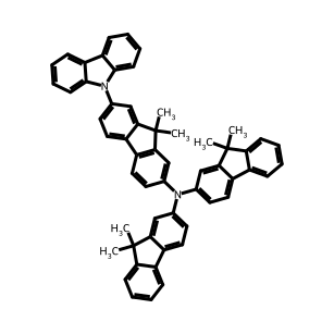 CC1(C)c2ccccc2-c2ccc(N(c3ccc4c(c3)C(C)(C)c3ccccc3-4)c3ccc4c(c3)C(C)(C)c3cc(-n5c6ccccc6c6ccccc65)ccc3-4)cc21